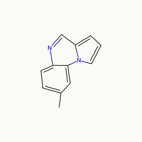 Cc1ccc2ncc3cccn3c2c1